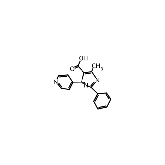 Cc1nc(-c2ccccc2)nc(-c2ccncc2)c1C(=O)O